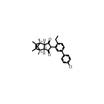 CCc1ccc(-c2ccc(Cl)cc2)cc1C1C(=O)[C@@H]2[C@H](C1=O)[C@@]1(C)C[C@]2(C)C(C)=C1C